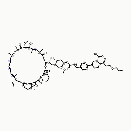 CCCOCCC(=O)N1CCN(c2ncc(CNC(=O)O[C@@H]3CC[C@@H](C[C@@H](N)[C@@H]4CC(=O)[C@H](C)/C=C(\C)[C@@H](O)[C@@H](OC)C(=O)[C@H](C)C[C@H](C)/C=C/C=C/C=C(\C)[C@@H](OC)C[C@@H]5CC[C@@H](C)[C@@](O)(O5)C(=O)C(=O)N5CCCC[C@H]5C(=O)O4)C[C@H]3OC)cn2)C[C@@H]1C(=O)O